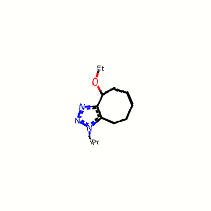 CCOC1CCCCCc2c1nnn2C(C)C